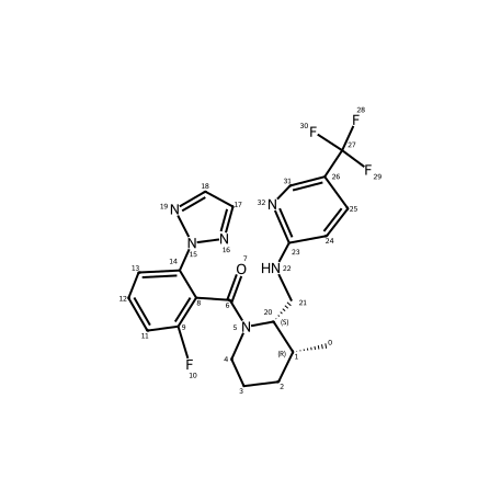 C[C@@H]1CCCN(C(=O)c2c(F)cccc2-n2nccn2)[C@@H]1CNc1ccc(C(F)(F)F)cn1